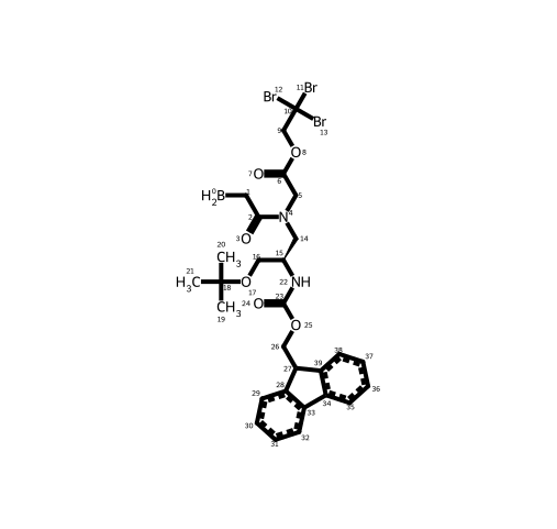 BCC(=O)N(CC(=O)OCC(Br)(Br)Br)C[C@H](COC(C)(C)C)NC(=O)OCC1c2ccccc2-c2ccccc21